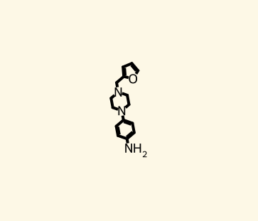 Nc1ccc(N2CCN(Cc3ccco3)CC2)cc1